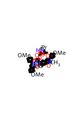 COc1ccc(-c2cc3ccc(OC)cc3c(=O)n2C)c(OCC(CNC(C)C)OC(=O)C(=O)OC(CNC(C)C)COc2cc(OC)ccc2-c2cc3ccc(OC)cc3c(=O)n2C)c1